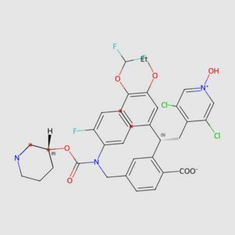 CCOc1cc([C@H](Cc2c(Cl)c[n+](O)cc2Cl)c2cc(CN(C(=O)O[C@H]3CN4CCC3CC4)c3ccccc3F)ccc2C(=O)[O-])ccc1OC(F)F